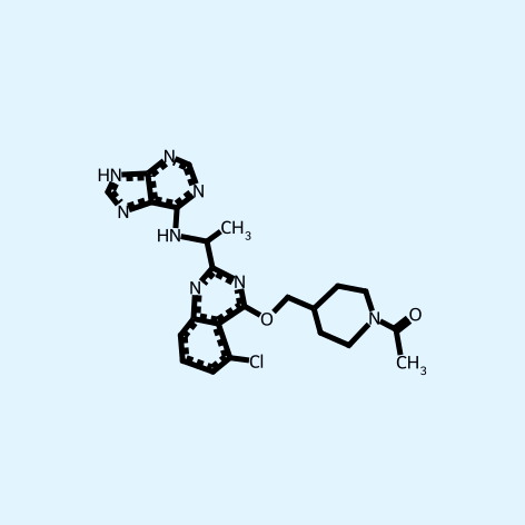 CC(=O)N1CCC(COc2nc(C(C)Nc3ncnc4[nH]cnc34)nc3cccc(Cl)c23)CC1